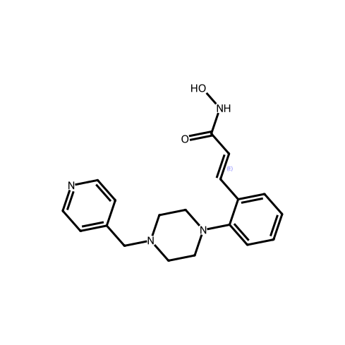 O=C(/C=C/c1ccccc1N1CCN(Cc2ccncc2)CC1)NO